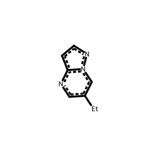 CCc1cnc2ccnn2c1